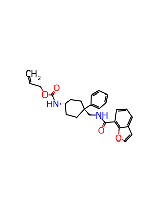 C=CCOC(=O)N[C@H]1CC[C@@](CNC(=O)c2cccc3ccoc23)(c2ccccc2)CC1